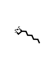 CCCCCCC1CSS1